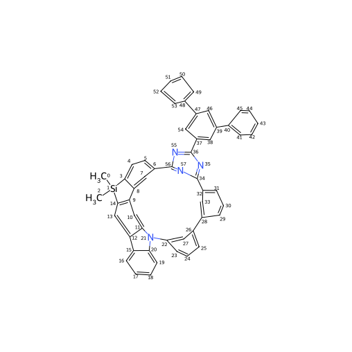 C[Si]1(C)c2ccc3cc2-c2cc4c(cc21)c1ccccc1n4-c1cccc(c1)-c1cccc(c1)-c1nc(-c2cc(-c4ccccc4)cc(-c4ccccc4)c2)nc-3n1